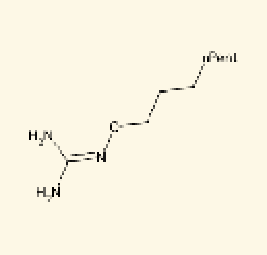 CCCCCCCCON=C(N)N